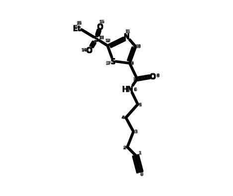 C#CCCCCNC(=O)c1cnc(S(=O)(=O)CC)s1